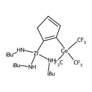 CCC(C)[NH][Zr]([NH]C(C)CC)([NH]C(C)CC)[C]1=[C]([Ge]([C](F)(F)F)([C](F)(F)F)[C](F)(F)F)C=CC1